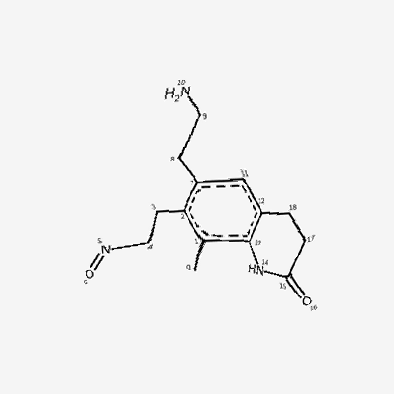 Cc1c(CCN=O)c(CCN)cc2c1NC(=O)CC2